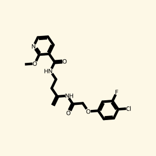 C=C(CCNC(=O)c1cccnc1OC)NC(=O)COc1ccc(Cl)c(F)c1